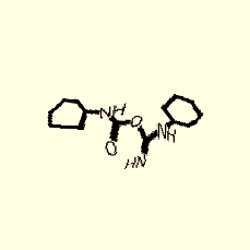 N=C(NC1CCCCC1)OC(=O)NC1CCCCC1